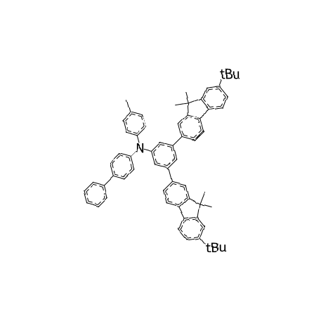 Cc1ccc(N(c2ccc(-c3ccccc3)cc2)c2cc(-c3ccc4c(c3)C(C)(C)c3cc(C(C)(C)C)ccc3-4)cc(-c3ccc4c(c3)C(C)(C)c3cc(C(C)(C)C)ccc3-4)c2)cc1